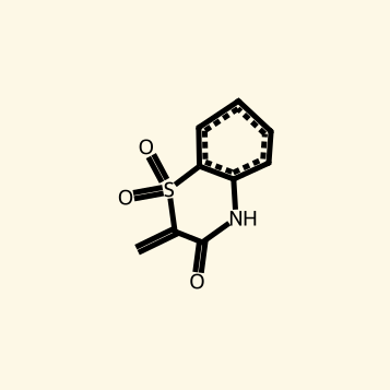 C=C1C(=O)Nc2ccccc2S1(=O)=O